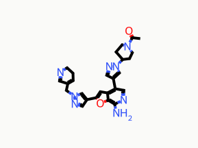 CC(=O)N1CCC(n2cc(-c3cnc(N)c4oc(-c5cnn(CC6=CCCN=C6)c5)cc34)cn2)CC1